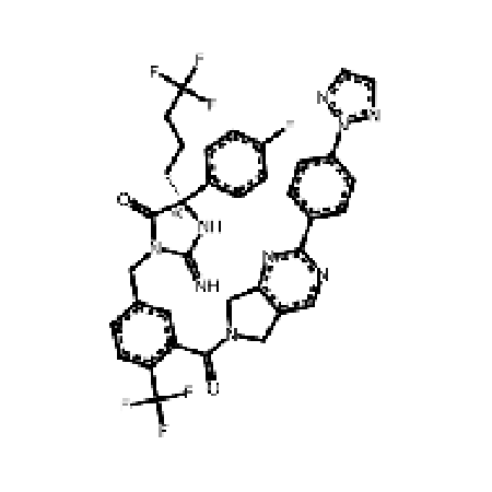 N=C1N[C@](CCCC(F)(F)F)(c2ccc(F)cc2)C(=O)N1Cc1ccc(C(F)(F)F)c(C(=O)N2Cc3cnc(-c4ccc(-n5nccn5)cc4)nc3C2)c1